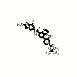 Cc1cn2cc(NC(=O)c3ccc(C4CCN(C(=O)OC(C)(C)C)CC4O)c4nccnc34)cc(F)c2n1